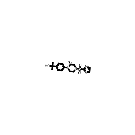 C[C@H]1CN(S(=O)(=O)c2nccs2)CCN1c1ccc(C(C)(C)O)cc1